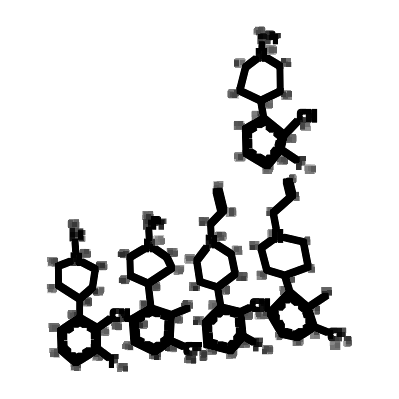 C=CCN1CCC(c2cccc(C(F)(F)F)c2C)CC1.C=CCN1CCC(c2cccc(F)c2C#N)CC1.CCCN1CCC(c2cccc(C(F)(F)F)c2C)CC1.CCCN1CCC(c2cccc(F)c2C#N)CC1.CCN1CCC(c2cccc(F)c2C#N)CC1